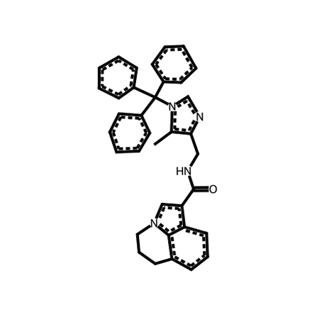 Cc1c(CNC(=O)c2cn3c4c(cccc24)CCC3)ncn1C(c1ccccc1)(c1ccccc1)c1ccccc1